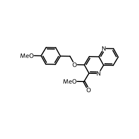 COC(=O)c1nc2cccnc2cc1OCc1ccc(OC)cc1